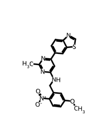 COc1ccc([N+](=O)[O-])c(CNc2cc(-c3ccc4ncsc4c3)nc(C)n2)c1